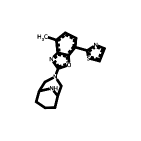 Cc1ccc(-c2nccs2)c2oc(N3CC4CCCC(C3)N4)nc12